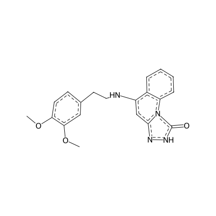 COc1ccc(CCNc2cc3n[nH]c(=O)n3c3ccccc23)cc1OC